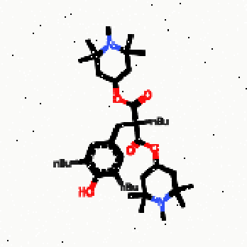 CCCCc1cc(CC(CCCC)(C(=O)OC2CC(C)(C)N(C)C(C)(C)C2)C(=O)OC2CC(C)(C)N(C)C(C)(C)C2)cc(CCCC)c1O